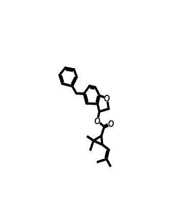 CC(C)=CC1C(C(=O)OC2COc3ccc(Cc4ccccc4)cc32)C1(C)C